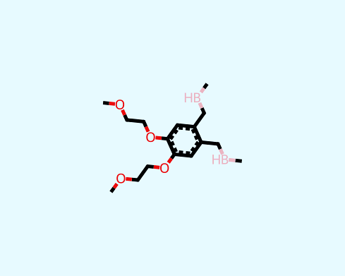 CBCc1cc(OCCOC)c(OCCOC)cc1CBC